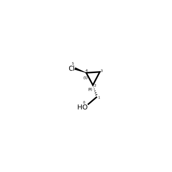 OC[C@H]1C[C@@H]1Cl